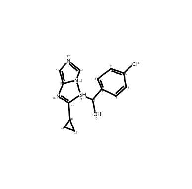 OC(c1ccc(Cl)cc1)[SH]1C(C2CC2)=Nc2cncn21